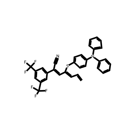 C=C/C=C(/C=C(\C#N)c1cc(C(F)(F)F)cc(C(F)(F)F)c1)Sc1ccc(N(c2ccccc2)c2ccccc2)cc1